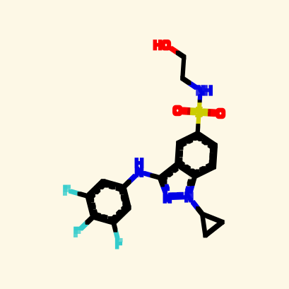 O=S(=O)(NCCO)c1ccc2c(c1)c(Nc1cc(F)c(F)c(F)c1)nn2C1CC1